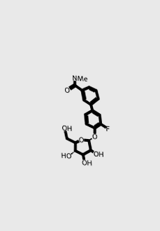 CNC(=O)c1cccc(-c2ccc(O[C@H]3OC(CO)[C@@H](O)C(O)C3O)c(F)c2)c1